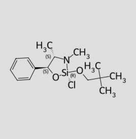 C[C@H]1[C@H](c2ccccc2)O[Si@](Cl)(OCC(C)(C)C)N1C